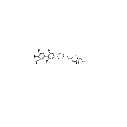 CCC[SiH]1CCC(CCC2CCC(c3cc(F)c(-c4cc(F)c(F)c(F)c4)c(F)c3)CC2)CC1